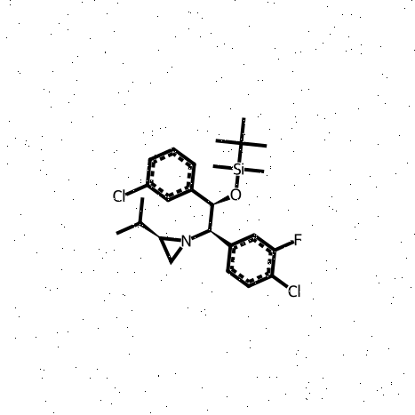 CC(C)[C@@H]1CN1[C@H](c1ccc(Cl)c(F)c1)[C@H](O[Si](C)(C)C(C)(C)C)c1cccc(Cl)c1